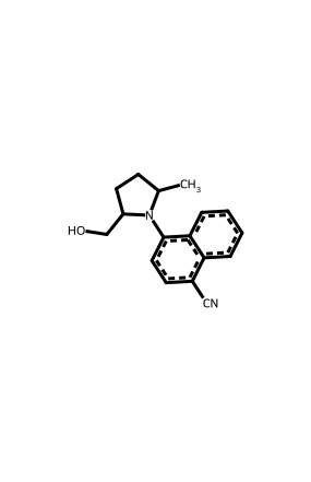 CC1CCC(CO)N1c1ccc(C#N)c2ccccc12